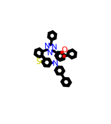 c1ccc(-c2ccc(N(c3ccc4oc5ccccc5c4c3)c3ccc4sc5cccc(-c6nc(-c7ccccc7)nc(-c7ccccc7)n6)c5c4c3)cc2)cc1